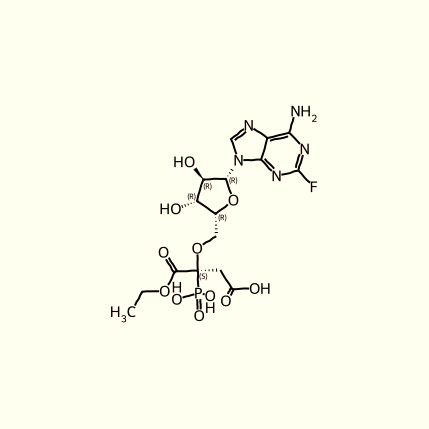 CCOC(=O)[C@@](CC(=O)O)(OC[C@H]1O[C@@H](n2cnc3c(N)nc(F)nc32)[C@H](O)[C@H]1O)P(=O)(O)O